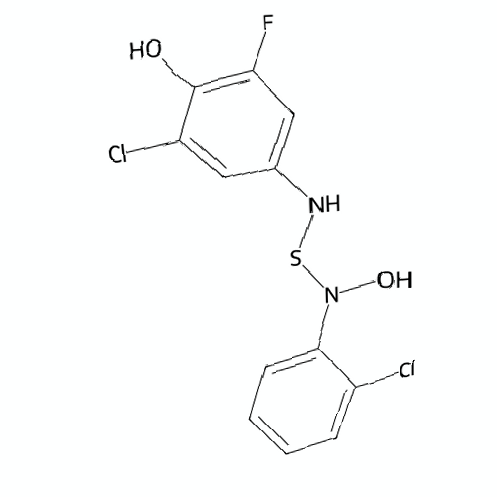 Oc1c(F)cc(NSN(O)c2ccccc2Cl)cc1Cl